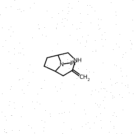 C=C1CC2CCC(CN1)N2C(C)C